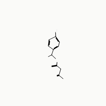 CC(=O)CC(=O)OC(C)c1ccc(Cl)cc1